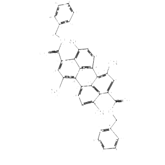 N#Cc1ccc2c3c(C#N)cc(C(=O)OCc4ccccc4)c4c(C#N)ccc(c5c(C#N)cc(C(=O)OCc6ccccc6)c1c25)c43